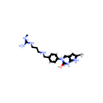 C/N=C(/N)NCCCNCc1ccc(-n2cc3cc(C(C)C)[nH]c3nc2=O)cc1